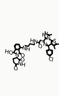 Cc1sc2c(c1C)C(c1ccc(Cl)cc1)=N[C@@H](CC(=O)NCCCCNc1cccc3c1C(=O)N(C1CCC(=O)NC1=O)C3O)c1nnc(C)n1-2